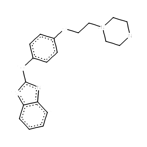 c1ccc2sc(Oc3ccc(OCCN4CC[N]CC4)cc3)nc2c1